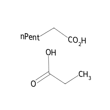 CCC(=O)O.CCCCCCC(=O)O